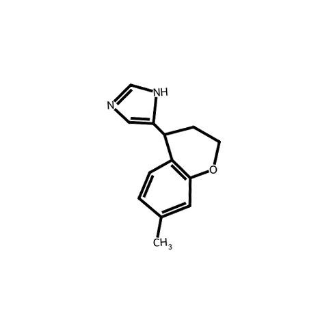 Cc1ccc2c(c1)OCCC2c1cnc[nH]1